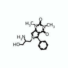 Cn1c(=O)c2c(-c3ccccc3)n(CC(N)CO)cc2n(C)c1=O